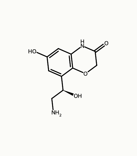 NC[C@H](O)c1cc(O)cc2c1OCC(=O)N2